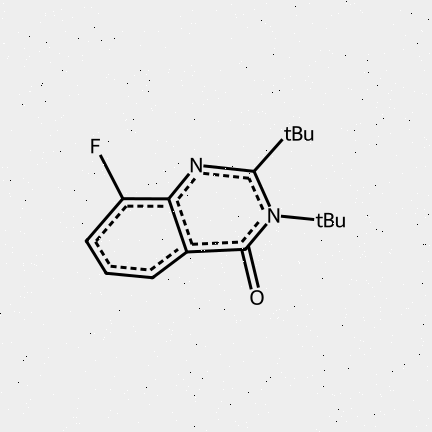 CC(C)(C)c1nc2c(F)cccc2c(=O)n1C(C)(C)C